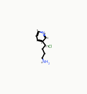 NCCC[C@@H](Cl)c1cccnc1